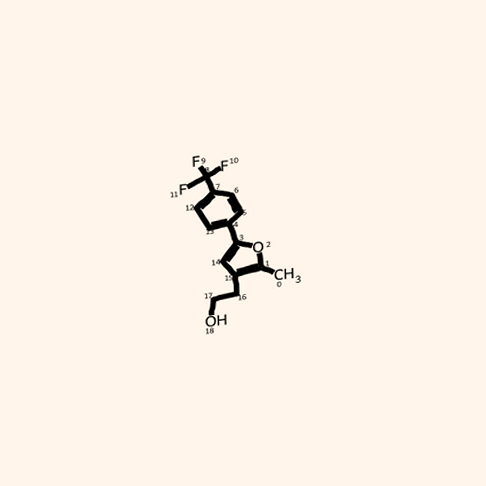 Cc1oc(-c2ccc(C(F)(F)F)cc2)cc1CCO